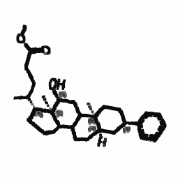 COC(=O)CCC(C)[C@H]1CCC2C3CC[C@@H]4C[C@H](c5ccccc5)CC[C@]4(C)C3C[C@H](O)[C@@]21C